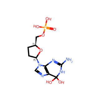 NC1=Nc2c(ncn2[C@H]2CC[C@@H](COP(=O)(O)O)O2)C(O)(O)N1